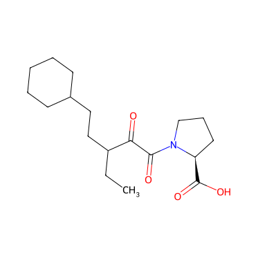 CCC(CCC1CCCCC1)C(=O)C(=O)N1CCC[C@H]1C(=O)O